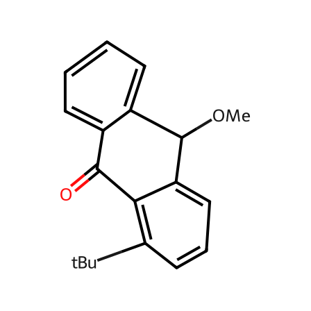 COC1c2ccccc2C(=O)c2c1cccc2C(C)(C)C